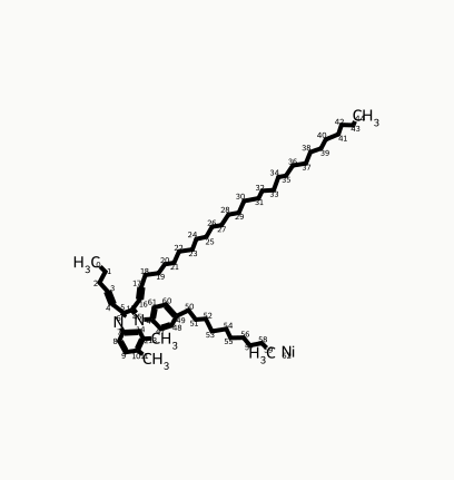 CCCC#CC(=Nc1ccc(C)c(C)c1)C(C#CCCCCCCCCCCCCCCCCCCCCCCCCCCC)=Nc1ccc(CCCCCCCCCC)cc1.[Ni]